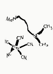 CNCCN(C)C.N#[C][Fe]([C]#N)([C]#N)([C]#N)[C]#N